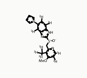 [2H]c1nc(C[S+]([O-])c2nc3c([2H])c(-n4cccc4)c([2H])c([2H])c3[nH]2)c(C([2H])([2H])[2H])c(OC)c1[2H]